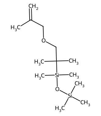 C=C(C)COCC(C)(C)[Si](C)(C)O[Si](C)(C)C